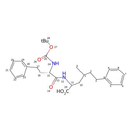 CC(CCc1ccccc1)CC(NC(=O)[C@H](CCc1ccccc1)NC(=O)OC(C)(C)C)C(=O)O